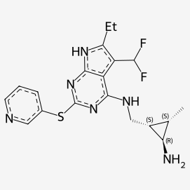 CCc1[nH]c2nc(Sc3cccnc3)nc(NC[C@@H]3[C@H](C)[C@H]3N)c2c1C(F)F